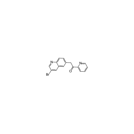 O=C(Cc1ccc2ncc(Br)cc2c1)c1ccccn1